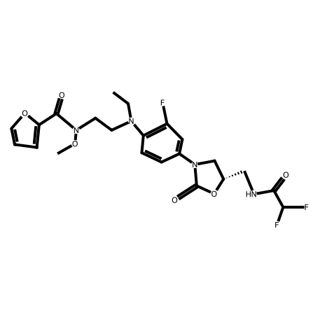 CCN(CCN(OC)C(=O)c1ccco1)c1ccc(N2C[C@H](CNC(=O)C(F)F)OC2=O)cc1F